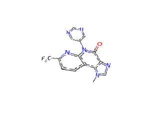 Cn1cnc2c(=O)n(-c3cncnc3)c3nc(C(F)(F)F)ccc3c21